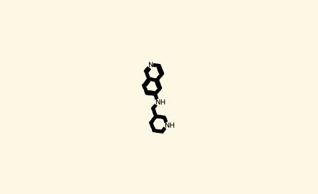 c1cc2cc(NCC3CCCNC3)ccc2cn1